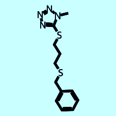 Cn1nnnc1SCCCSCc1ccccc1